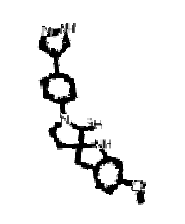 [2H]C1N(c2ccc(-c3cn[nH]c3)cc2)CCC12Cc1ccc(OC)cc1N2